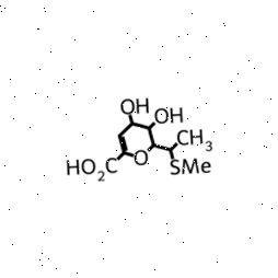 CSC(C)C1OC(C(=O)O)=CC(O)C1O